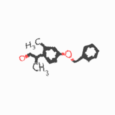 Cc1cc(OCc2ccccc2)ccc1C(C)C=O